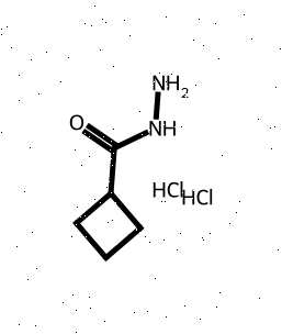 Cl.Cl.NNC(=O)C1CCC1